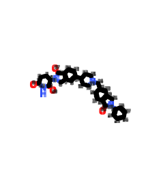 O=C1CCC(N2Cc3cc(C4CCN(Cc5ccc6c(c5)CN(c5ccccc5)C6=O)CC4)ccc3C2=O)C(=O)N1